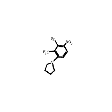 O=[N+]([O-])c1ccc(N2CCCC2)c(C(F)(F)F)c1Br